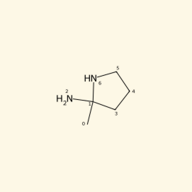 CC1(N)CCCN1